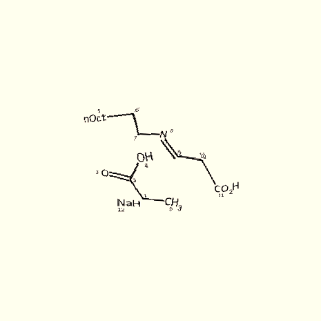 CCC(=O)O.CCCCCCCCCCN=CCC(=O)O.[NaH]